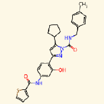 Cc1ccc(CNC(=O)n2nc(-c3ccc(NC(=O)c4cccs4)cc3O)cc2C2CCCC2)cc1